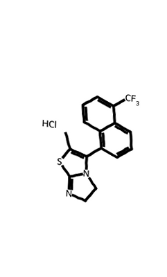 CC1=C(c2cccc3c(C(F)(F)F)cccc23)N2CCN=C2S1.Cl